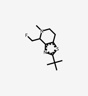 CN1CCc2sc(C(C)(C)C)nc2C1CF